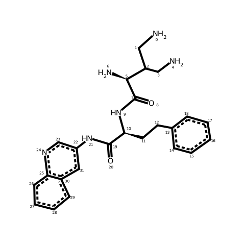 NCC(CN)[C@H](N)C(=O)N[C@@H](CCc1ccccc1)C(=O)Nc1cnc2ccccc2c1